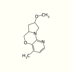 COC1CC2COc3c(C)ccnc3N2C1